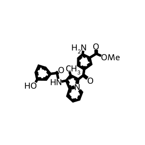 COC(=O)c1cc(C(=O)c2c(C)c(NC(=O)c3cccc(O)c3)c3ccccn23)ccc1N